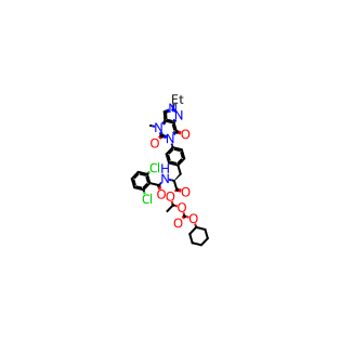 CCn1cc2c(n1)c(=O)n(-c1ccc(C[C@H](NC(=O)c3c(Cl)cccc3Cl)C(=O)OC(C)OC(=O)OC3CCCCC3)cc1)c(=O)n2C